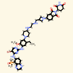 CCc1cc(Nc2ncc(Br)c(Nc3ccc4nccnc4c3P(C)(C)=O)n2)c(OC)cc1N1CCC(NCCNCC2CN(c3ccc4c(c3)C(=O)N(C3CCC(=O)NC3=O)C4=O)C2)CC1